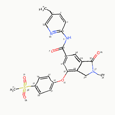 Cc1ccc(NC(=O)c2cc(Oc3ccc(S(C)(=O)=O)cc3)c3c(c2)C(=O)N(C(C)C)C3)nc1